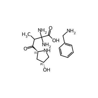 CC(C(=O)[C@@H]1C[C@@H](O)CN1)C(N)(N)C(=O)O.NCc1ccccc1